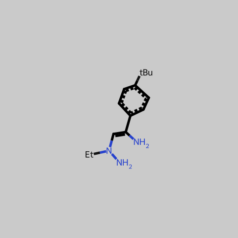 CCN(N)/C=C(\N)c1ccc(C(C)(C)C)cc1